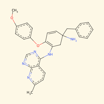 COc1ccc(OC2=C(Nc3ncnc4nc(C)ccc34)CC(N)(Cc3ccccc3)C=C2)cc1